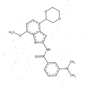 COc1ccc(C2COCCO2)c2sc(NC(=O)c3cccc(N(C)C)c3)nc12